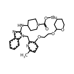 Cc1ccc(OCCOC2CCCCO2)c(Cn2c(NC3CCN(C(=O)OC(C)(C)C)CC3)nc3ccccc32)n1